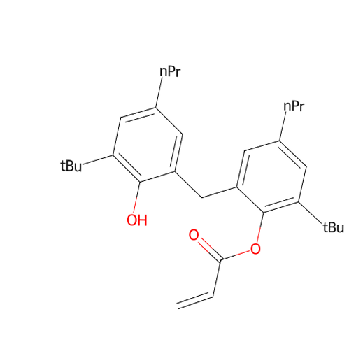 C=CC(=O)Oc1c(Cc2cc(CCC)cc(C(C)(C)C)c2O)cc(CCC)cc1C(C)(C)C